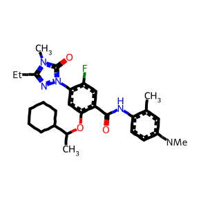 CCc1nn(-c2cc(OC(C)C3CCCCC3)c(C(=O)Nc3ccc(NC)cc3C)cc2F)c(=O)n1C